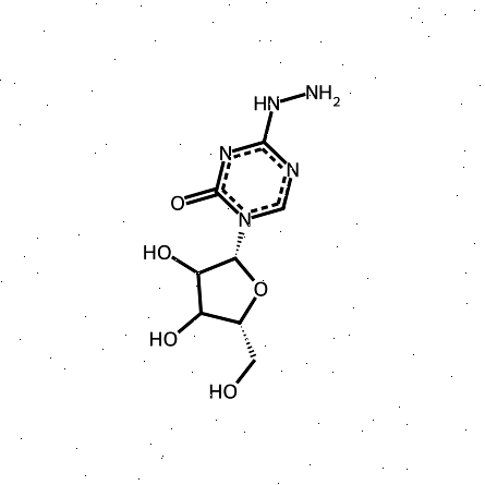 NNc1ncn([C@@H]2O[C@H](CO)C(O)C2O)c(=O)n1